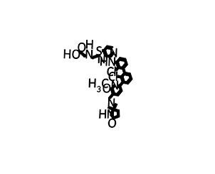 COc1nc(-c2cccc(-c3cccc(Nc4nccc5sc(CNCC(=O)O)nc45)c3Cl)c2Cl)ccc1CN1CC2(CCC(=O)N2)C1